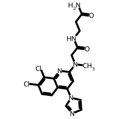 CN(CC(=O)NCCC(N)=O)c1cc(-n2ccnc2)c2ccc(Cl)c(Cl)c2n1